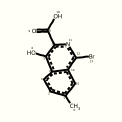 Cc1ccc2c(O)c(C(=O)O)nc(Br)c2c1